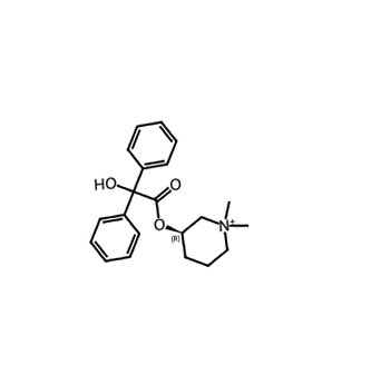 C[N+]1(C)CCC[C@@H](OC(=O)C(O)(c2ccccc2)c2ccccc2)C1